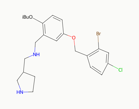 CC(C)COc1ccc(OCc2ccc(Cl)cc2Br)cc1CNCC1CCNC1